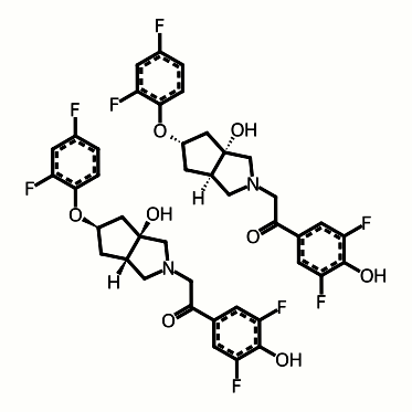 O=C(CN1C[C@@H]2C[C@@H](Oc3ccc(F)cc3F)C[C@]2(O)C1)c1cc(F)c(O)c(F)c1.O=C(CN1C[C@H]2C[C@H](Oc3ccc(F)cc3F)C[C@@]2(O)C1)c1cc(F)c(O)c(F)c1